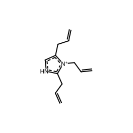 C=CCc1c[nH]c(CC=C)[n+]1CC=C